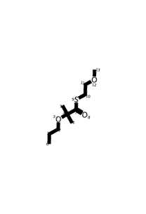 CCCOC(C)(C)C(=O)SCCOC